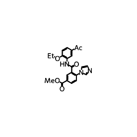 CCOc1ccc(C(C)=O)cc1NC(=O)c1cc(C(=O)OC)ccc1-n1ccnc1